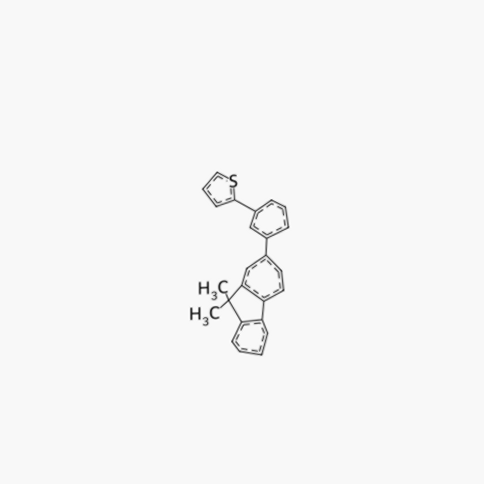 CC1(C)c2ccccc2-c2ccc(-c3cccc(-c4cccs4)c3)cc21